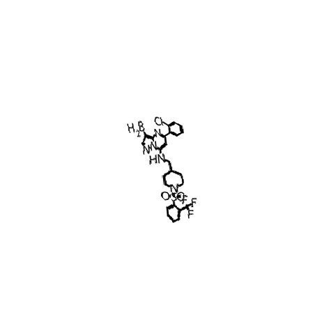 Bc1cnn2c(NCC3CCN(S(=O)(=O)c4ccccc4C(F)(F)F)CC3)cc(-c3ccccc3Cl)nc12